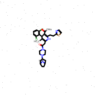 COC(=O)C1=C(CCc2nccs2)NC(CC(=O)N2CCN(C3CC4CCC(C3)N4C)CC2)=C(C(=O)O)C1c1c(Cl)cccc1Cl